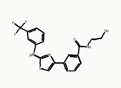 O=C(NCCO)c1cccc(-c2csc(Nc3cccc(C(F)(F)F)c3)n2)c1